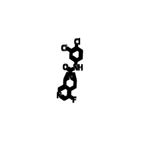 O=C(Nc1ccc(Cl)c(Cl)c1)N1C2CCC1c1cncc(F)c1C2